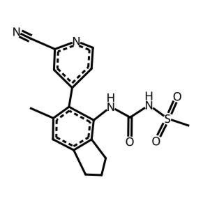 Cc1cc2c(c(NC(=O)NS(C)(=O)=O)c1-c1ccnc(C#N)c1)CCC2